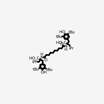 CC(C)CC(Cc1cc(C(C)(C)C)c(O)c(C(C)(C)C)c1)(NC(=O)CCCCCCCCC(=O)NC(Cc1cc(C(C)(C)C)c(O)c(C(C)(C)C)c1)(CC(C)C)C(=O)O)C(=O)O